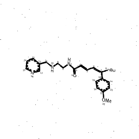 CCCCC(=CC=CC(=O)NCCNCc1cccnc1)c1ccc(OC)cc1